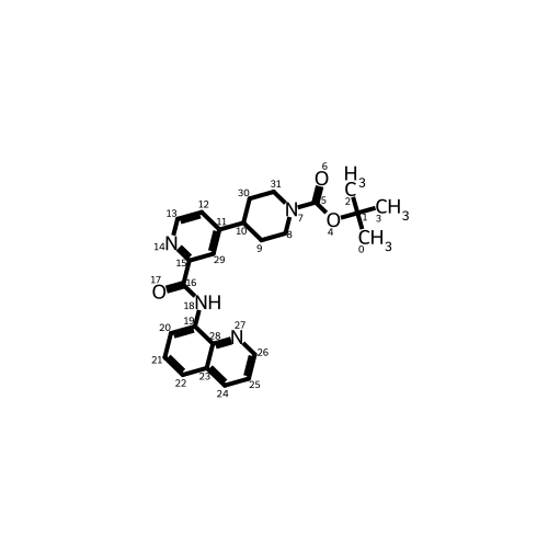 CC(C)(C)OC(=O)N1CCC(c2ccnc(C(=O)Nc3cccc4cccnc34)c2)CC1